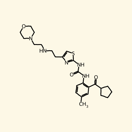 Cc1ccc(NC(=O)Nc2nc(CCNCCN3CCOCC3)cs2)c(C(=O)C2CCCC2)c1